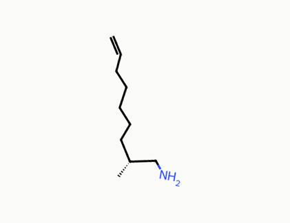 C=CCCCCC[C@@H](C)CN